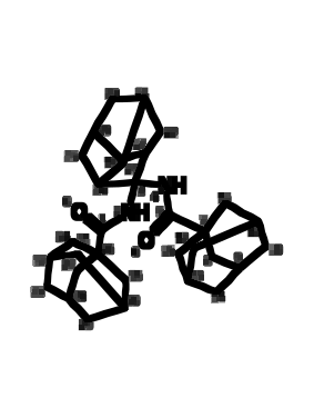 O=C(NC1(NC(=O)C23CC4CC(CC(C4)C2)C3)C2CC3CC(C2)CC1C3)C12CC3CC(CC(C3)C1)C2